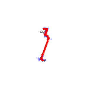 Cc1c(-c2ccc(N3CCc4cccc(C(=O)Nc5nc6ccccc6s5)c4C3)nc2C(=O)O)cnn1CC12CC3(C)CC(C)(C1)CC(OCCNC(=O)OCc1ccc(NC(=O)OCCOCCOCCOCCOCCOCCOCCOCCOCCOCCOCCOCC(=O)NCCCC[C@H](N)C(=O)N[C@@H](C)C(=O)N[C@H](C(=O)NC(C)C)C(C)C)cc1)(C3)C2